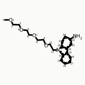 COCCOCCOCCOCCn1c2ccccc2c2cc(N)ccc21